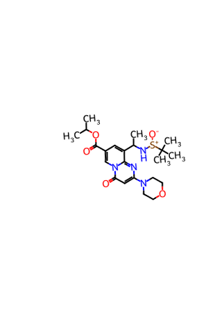 CC(C)OC(=O)c1cc(C(C)N[S@+]([O-])C(C)(C)C)c2nc(N3CCOCC3)cc(=O)n2c1